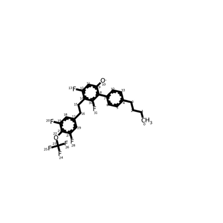 CCCCc1ccc(-c2c([O])cc(F)c(CCc3cc(F)c(OC(F)(F)F)c(F)c3)c2F)cc1